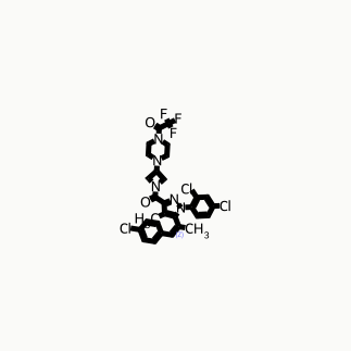 C/C(=C/c1ccc(Cl)cc1)c1c(C)c(C(=O)N2CC(N3CCN(C(=O)C(F)(F)F)CC3)C2)nn1-c1ccc(Cl)cc1Cl